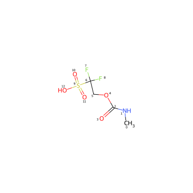 CNC(=O)OCC(F)(F)S(=O)(=O)O